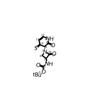 CC(C)(C)OC(=O)NC1CN([C@H]2C(=O)NC=CC2=S)C1=O